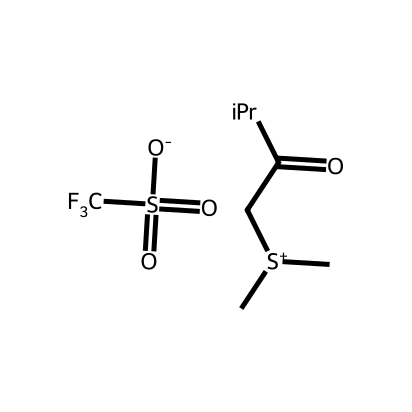 CC(C)C(=O)C[S+](C)C.O=S(=O)([O-])C(F)(F)F